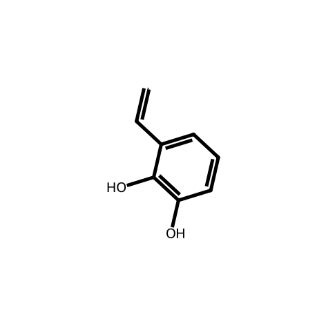 [CH]=Cc1cccc(O)c1O